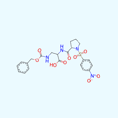 O=C(NCC(NC(=O)C1CCCN1S(=O)(=O)c1ccc([N+](=O)[O-])cc1)C(=O)O)OCc1ccccc1